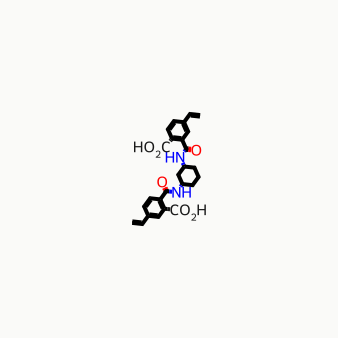 C=Cc1ccc(C(=O)NC2CCCC(NC(=O)c3cc(C=C)ccc3C(=O)O)C2)c(C(=O)O)c1